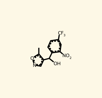 Cc1oncc1C(O)c1ccc(C(F)(F)F)cc1[N+](=O)[O-]